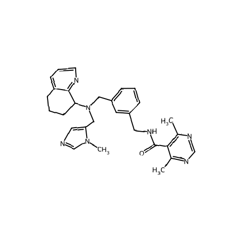 Cc1ncnc(C)c1C(=O)NCc1cccc(CN(Cc2cncn2C)C2CCCc3cccnc32)c1